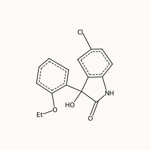 CCOc1ccccc1C1(O)C(=O)Nc2ccc(Cl)cc21